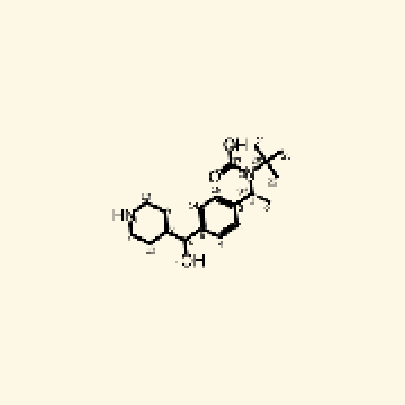 C[C@@H](c1ccc(C(O)C2CCNCC2)cc1)N(C(=O)O)C(C)(C)C